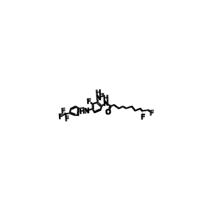 Nc1c(NC(=O)CCCCCCC[C@@H](F)CF)ccc(NCc2ccc(C(F)(F)F)cc2)c1F